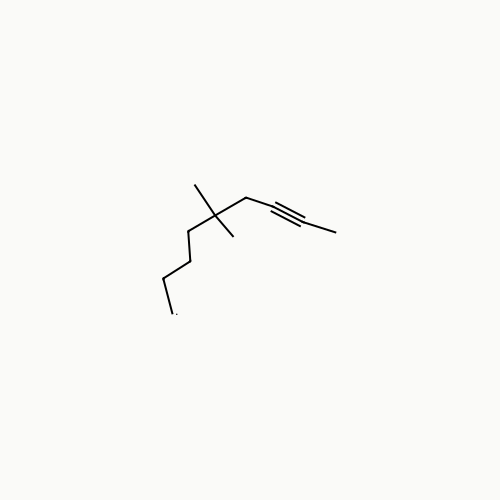 [CH2]CCCC(C)(C)CC#CC